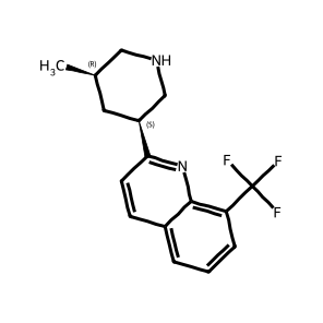 C[C@H]1CNC[C@@H](c2ccc3cccc(C(F)(F)F)c3n2)C1